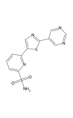 NS(=O)(=O)c1cccc(-c2cnc(-c3cncnc3)s2)n1